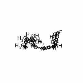 Cc1ncsc1-c1ccc(C(C)NC(=O)[C@@H]2C[C@@H](O)CN2C(=O)C(c2cc(OCCCCN3CCN(c4ccc(-c5cnc6[nH]cc(C(=O)c7c(F)ccc(NS(=O)(=O)N8CC[C@@H](F)C8)c7F)c6c5)cc4)CC3)no2)C(C)C)cc1